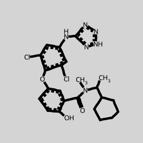 CC(C1CCCCC1)N(C)C(=O)c1cc(Oc2c(Cl)cc(Nc3nn[nH]n3)cc2Cl)ccc1O